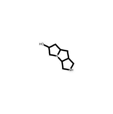 OC1CC2CC3CNCC3N2C1